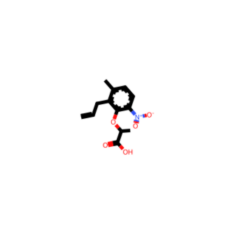 C=CCc1c(C)ccc([N+](=O)[O-])c1OC(C)C(=O)O